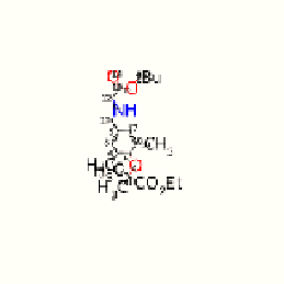 CCOC(=O)C(C)(C)Oc1c(C)cc(CNCC(=O)OC(C)(C)C)cc1C